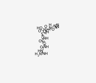 C[C@@H](NC(=O)Cn1cnnn1)[C@H]1C(=O)N2C(C(=O)O)=C(S[C@@H]3CN[C@H](C(=O)N4CC[C@@H](NC(=O)CNC(=N)N)C4)C3)[C@H](C)[C@H]12